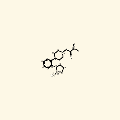 CN(C)C(=O)CN1CCC(c2ccccc2[C@H]2CCCN2C(C)(C)C)CC1